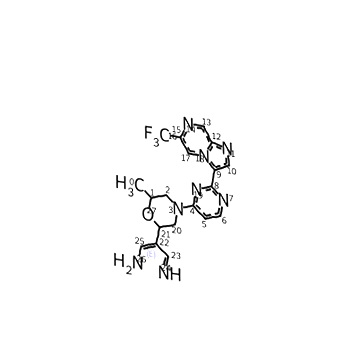 CC1CN(c2ccnc(-c3cnc4cnc(C(F)(F)F)cn34)n2)CC(/C(C=N)=C/N)O1